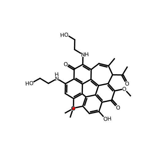 COc1c2c3c4c(c(NCCO)c(=O)c5c(NCCO)cc(OC)c(c6c(OC)cc(O)c(c1=O)c63)c54)C=C(C)C2C(C)=O